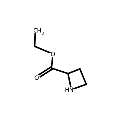 CCOC(=O)C1CCN1